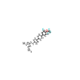 CCC(C)CCC1CCC(C2CCC(c3ccc(OC(F)(F)F)c(F)c3)CC2)CC1